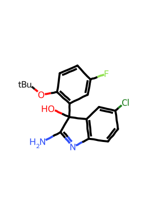 CC(C)(C)Oc1ccc(F)cc1C1(O)C(N)=Nc2ccc(Cl)cc21